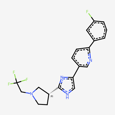 Fc1cccc(-c2ccc(-c3c[nH]c([C@@H]4CCN(CC(F)(F)F)C4)n3)cn2)c1